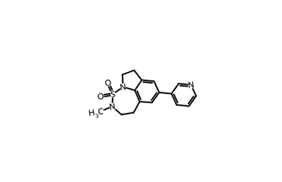 CN1CCc2cc(-c3cccnc3)cc3c2N(CC3)S1(=O)=O